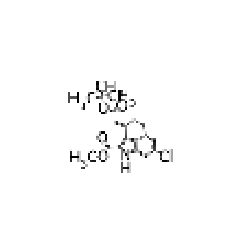 COC(=O)c1[nH]c2cc(Cl)cc3c2c1C(=CC(=O)OC(C)(C)C)CC3